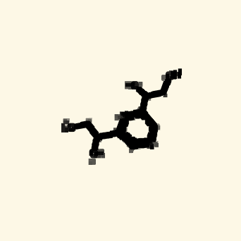 OCC(O)c1cncc(C(O)CO)n1